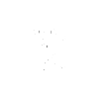 c1ccc(-c2cccc(-c3nc(-c4ccccc4)nc(-c4cccc(-c5cccc(-n6c7cc8ccccc8cc7c7c8ccccc8ccc76)c5)c4)n3)c2)cc1